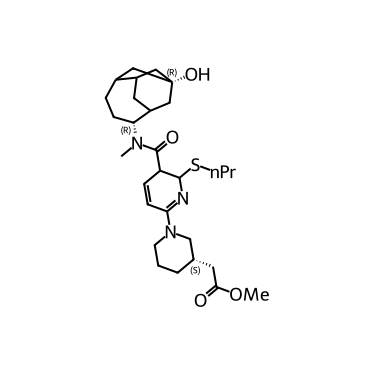 CCCSC1N=C(N2CCC[C@@H](CC(=O)OC)C2)C=CC1C(=O)N(C)[C@@H]1CCC2C[C@@]3(O)CC2CC1C3